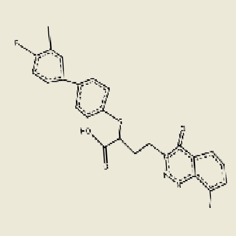 Cc1cc(-c2ccc(SC(CCn3nnc4c(C)cccc4c3=O)C(=O)O)cc2)ccc1F